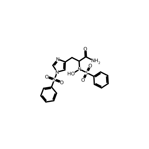 NC(=O)C(Cc1cn(S(=O)(=O)c2ccccc2)cn1)N(O)S(=O)(=O)c1ccccc1